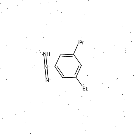 CCc1cccc(C(C)C)c1.[N-]=[N+]=N